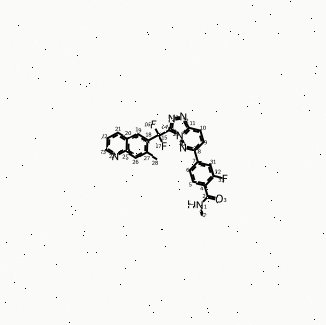 CNC(=O)c1ccc(-c2ccc3nnc(C(F)(F)c4cc5cccnc5cc4C)n3n2)cc1F